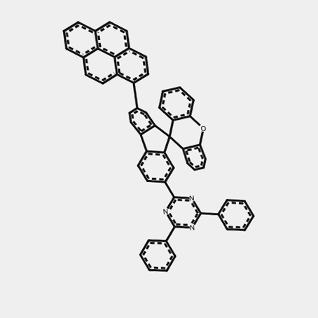 c1ccc(-c2nc(-c3ccccc3)nc(-c3ccc4c(c3)C3(c5ccccc5Oc5ccccc53)c3cc(-c5ccc6ccc7cccc8ccc5c6c78)ccc3-4)n2)cc1